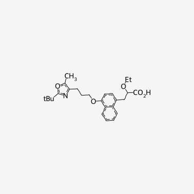 CCOC(Cc1ccc(OCCCc2nc(C(C)(C)C)oc2C)c2ccccc12)C(=O)O